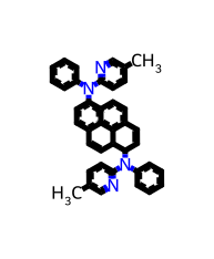 Cc1ccc(N(c2ccccc2)c2ccc3c4c5c(ccc24)C=CC(N(c2ccccc2)c2ccc(C)cn2)C5C=C3)nc1